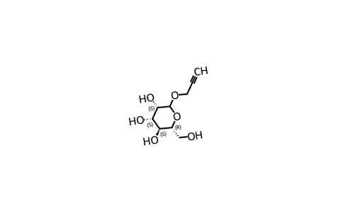 C#CCOC1O[C@H](CO)[C@@H](O)[C@H](O)[C@@H]1O